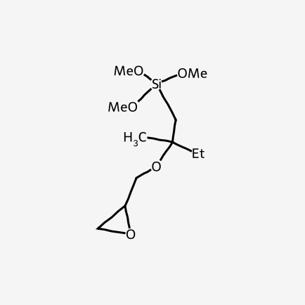 CCC(C)(C[Si](OC)(OC)OC)OCC1CO1